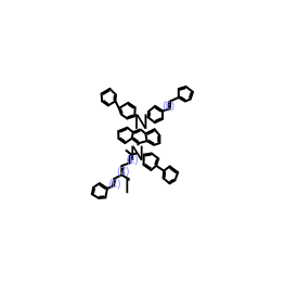 C\C(=C/C=C(/C=C/c1ccccc1)CI)N(c1ccc(-c2ccccc2)cc1)c1c2ccccc2c(N(c2ccc(/C=C/c3ccccc3)cc2)c2ccc(-c3ccccc3)cc2)c2ccccc12